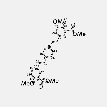 COC(=O)c1cc(/C=C/c2ccc(/C=C/c3ccc(OC)c(C(=O)OC)c3)cc2)ccc1OC